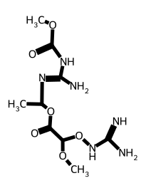 COC(=O)NC(N)=NC(C)OC(=O)C(OC)ONC(=N)N